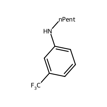 CCCCCNc1cccc(C(F)(F)F)c1